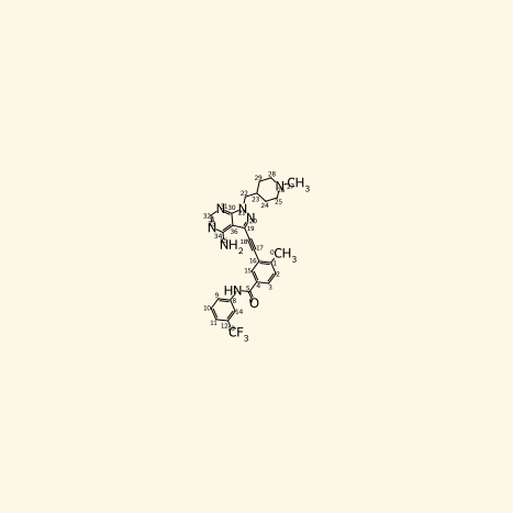 Cc1ccc(C(=O)Nc2cccc(C(F)(F)F)c2)cc1C#Cc1nn(CC2CCN(C)CC2)c2ncnc(N)c12